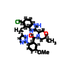 COc1ccc(-n2nccn2)c(C(=O)N2C[C@@H](C)OC[C@@H]2c2nc3c(C)c(Cl)ccc3[nH]2)c1